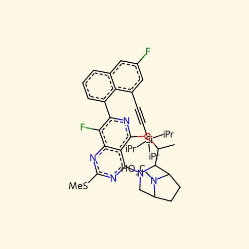 CSc1nc2c3c(nc(-c4cccc5cc(F)cc(C#C[Si](C(C)C)(C(C)C)C(C)C)c45)c(F)c3n1)OC(C)C1C3CCC(CN21)N3C(=O)O